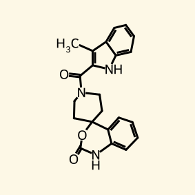 Cc1c(C(=O)N2CCC3(CC2)OC(=O)Nc2ccccc23)[nH]c2ccccc12